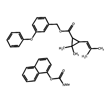 CC(C)=CC1C(C(=O)OCc2cccc(Oc3ccccc3)c2)C1(C)C.CNC(=O)Oc1cccc2ccccc12